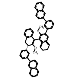 COC1=C(c2c(OC)c(-c3cccc(-c4ccc5ccccc5c4)c3)cc3c2=CCCC=3)c2ccccc2C[C@H]1c1cccc(-c2ccc3ccccc3c2)c1